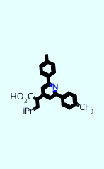 Cc1ccc(-c2cc(C(CC(C)C)C(=O)O)cc(-c3ccc(C(F)(F)F)cc3)n2)cc1